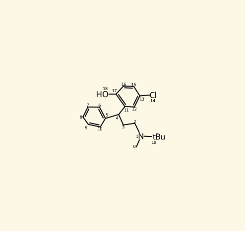 CN(CCC(c1ccccc1)c1cc(Cl)ccc1O)C(C)(C)C